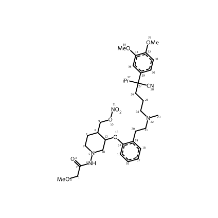 COCC(=O)NN1CCC(CO[N+](=O)[O-])C(Oc2ccccc2CCN(C)CCCC(C#N)(c2ccc(OC)c(OC)c2)C(C)C)C1